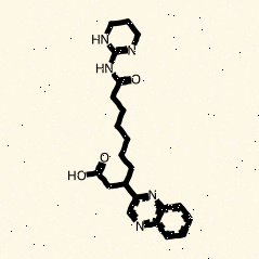 O=C(O)CC(CCCCCCC(=O)NC1=NCCCN1)c1cnc2ccccc2n1